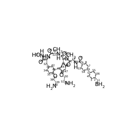 BCc1ccc(-c2ccc(C(=O)NCC(=O)N(C)C3C(=O)N[C@@H](C)C(=O)NC(C(=O)NO)Cc4ccc(OCCN)c(c4)-c4cc3ccc4OCCN)cc2)cc1